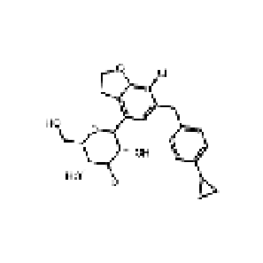 OC[C@H]1OC(c2cc(Cc3ccc(C4CC4)cc3)c(Cl)c3c2CCO3)[C@H](O)C(O)[C@@H]1O